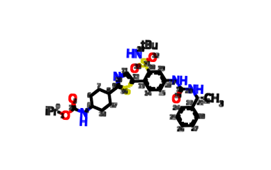 CC(C)OC(=O)NC1CCC(c2ncc(-c3ccc(NC(=O)N[C@H](C)c4ccccc4)cc3S(=O)(=O)NC(C)(C)C)s2)CC1